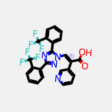 O=C(O)/C(=C/n1nc(-c2ccccc2C(F)(F)F)nc1-c1ccccc1C(F)(F)F)c1cccnc1